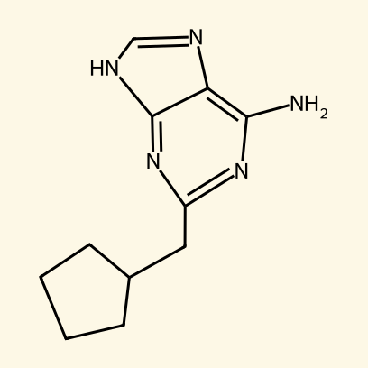 Nc1nc(CC2CCCC2)nc2[nH]cnc12